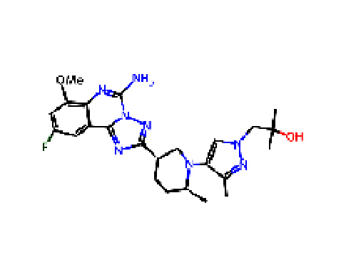 COc1cc(F)cc2c1nc(N)n1nc([C@@H]3CC[C@H](C)N(c4cn(CC(C)(C)O)nc4C)C3)nc21